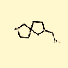 [CH2]CN1CCC2(CCNC2)C1